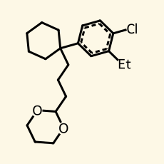 CCc1cc(C2(CCCC3OCCCO3)CCCCC2)ccc1Cl